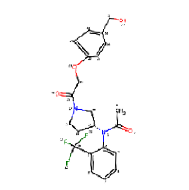 CC(=O)N(c1ccccc1C(F)(F)F)[C@@H]1CCN(C(=O)COc2ccc(CO)cc2)C1